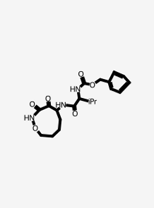 CC(C)C(NC(=O)OCc1ccccc1)C(=O)NC1CCCCONC(=O)C1=O